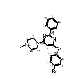 CN1CCN(c2cc(Sc3ccc(Br)cc3)nc(-c3ccccc3)n2)CC1